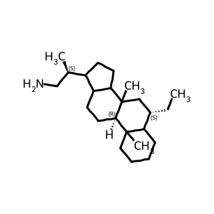 CC[C@H]1CC2(C)C3CCC([C@H](C)CN)C3CC[C@@H]2C2(C)CCCCC12